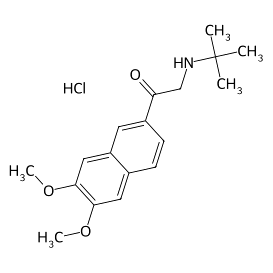 COc1cc2ccc(C(=O)CNC(C)(C)C)cc2cc1OC.Cl